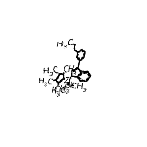 CCCc1cccc(C2=C[CH]([Zr]([C]3=C(C)C(C)=C(C)C3C)=[Si](C)C)c3ccccc32)c1